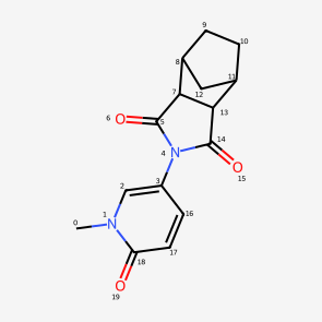 Cn1cc(N2C(=O)C3C4CCC(C4)C3C2=O)ccc1=O